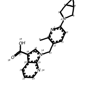 Cc1nc(N2CC3CC3C2)ccc1Cn1cc(C(=O)O)c2cccnc21